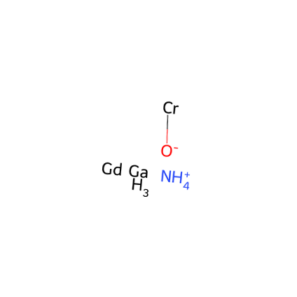 [GaH3].[Gd].[NH4+].[O-][Cr]